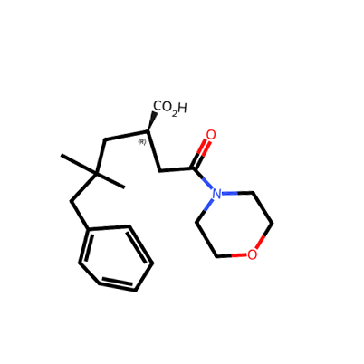 CC(C)(Cc1ccccc1)C[C@H](CC(=O)N1CCOCC1)C(=O)O